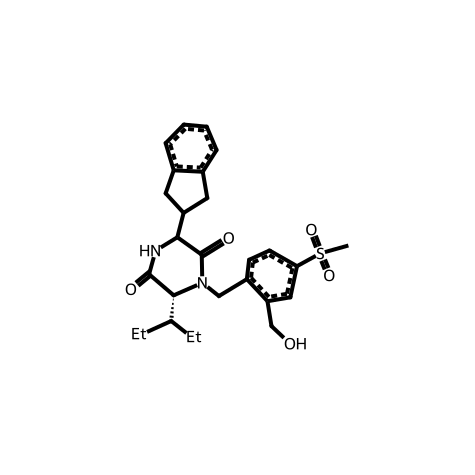 CCC(CC)[C@@H]1C(=O)NC(C2Cc3ccccc3C2)C(=O)N1Cc1ccc(S(C)(=O)=O)cc1CO